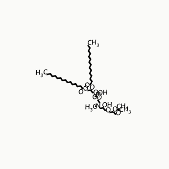 CCCCCCCCCCCCCCCC(=O)OCC(COP(=O)(O)OCCN(C)CC(O)COCC1COC(C)(C)O1)OC(=O)CCCCCCCCCCCCCCC